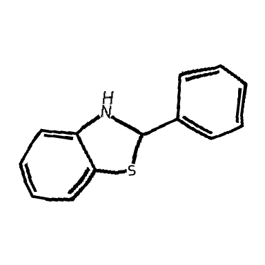 c1ccc(C2Nc3ccccc3S2)cc1